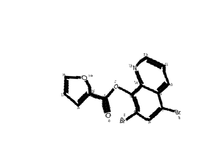 O=C(Oc1c(Br)cc(Br)c2cccnc12)c1ccco1